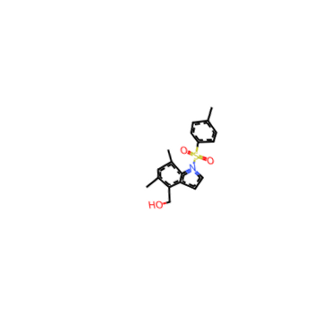 Cc1ccc(S(=O)(=O)n2ccc3c(CO)c(C)cc(C)c32)cc1